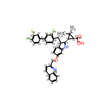 CC1(C)[C@H](C2=Nc3cc(OCc4ccc5ccccc5n4)ccc3C2Cc2ccc(-c3ccc(F)c(F)c3)cc2F)[C@@H]1C(=O)O